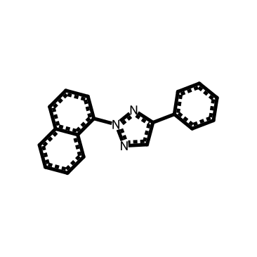 c1ccc(-c2cnn(-c3cccc4ccccc34)n2)cc1